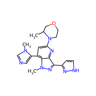 CC1COCCN1c1cc(-c2cncn2C)c2c(n1)c(-c1cc[nH]n1)nn2C